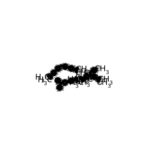 CCN(CC)c1ccc(-c2ccc(C(c3ccccc3)c3ccccc3)cc2)cc1.CCN(CC)c1ccc(-c2ccc(Cc3ccc(-c4ccc(N(CC)CC)cc4)cc3)cc2)cc1.CCN(CC)c1ccc(C(Cc2ccc(C)cc2)c2ccc(N(CC)CC)cc2C)c(C)c1